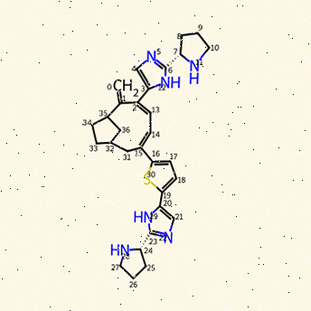 C=C1/C(c2cnc([C@@H]3CCCN3)[nH]2)=C\C=C(\c2ccc(-c3cnc([C@@H]4CCCN4)[nH]3)s2)CC2CCC1C2